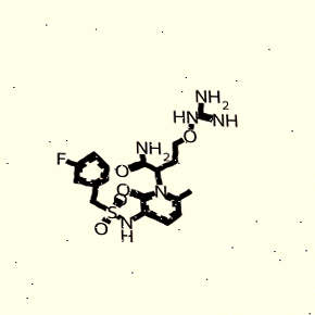 Cc1ccc(NS(=O)(=O)Cc2cccc(F)c2)c(=O)n1C(CCONC(=N)N)C(N)=O